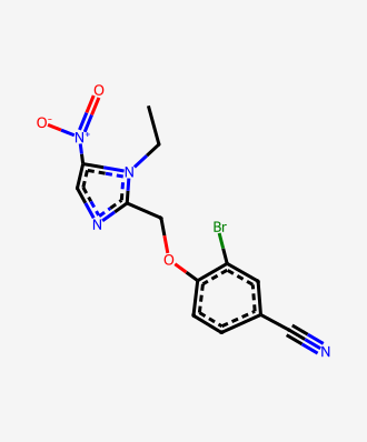 CCn1c([N+](=O)[O-])cnc1COc1ccc(C#N)cc1Br